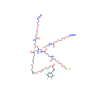 [N-]=[N+]=NCCOCCOCCC(=O)NCCCC[C@H](NC(=O)[C@H](CCCCNC(=O)CCOCCOCCN=[N+]=[N-])NC(=O)CCCNC(=O)CCOCCOCCS)C(=O)CCCCCOCCC1CC1CCOCCOCCC(=O)C1CC1c1c(F)c(F)c(F)c(F)c1F